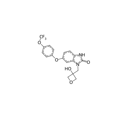 O=c1[nH]c2ccc(Oc3ccc(OC(F)(F)F)cc3)cc2n1CC1(O)COC1